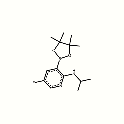 CC(C)Nc1ncc(F)cc1B1OC(C)(C)C(C)(C)O1